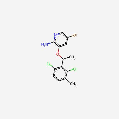 Cc1ccc(Cl)c(C(C)Oc2cc(Br)cnc2N)c1Cl